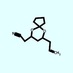 C=CCC1CC(CC#N)OC2(CCCC2)O1